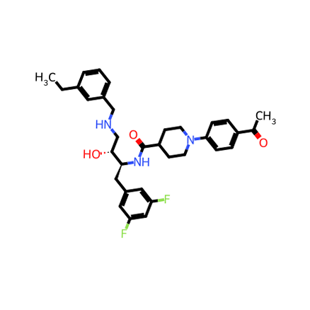 CCc1cccc(CNC[C@@H](O)[C@H](Cc2cc(F)cc(F)c2)NC(=O)C2CCN(c3ccc(C(C)=O)cc3)CC2)c1